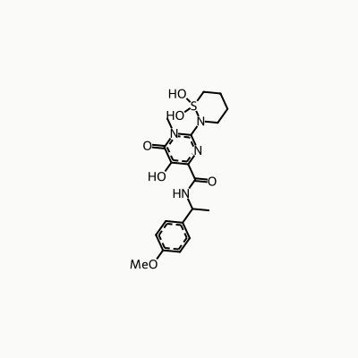 COc1ccc(C(C)NC(=O)c2nc(N3CCCCS3(O)O)n(C)c(=O)c2O)cc1